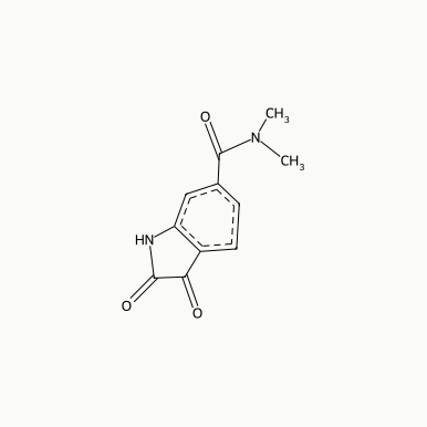 CN(C)C(=O)c1ccc2c(c1)NC(=O)C2=O